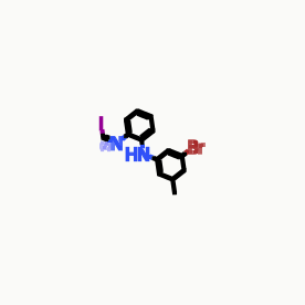 CC1C=C(Nc2ccccc2/N=C\I)C=C(Br)C1